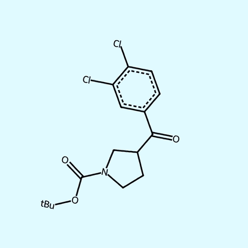 CC(C)(C)OC(=O)N1CCC(C(=O)c2ccc(Cl)c(Cl)c2)C1